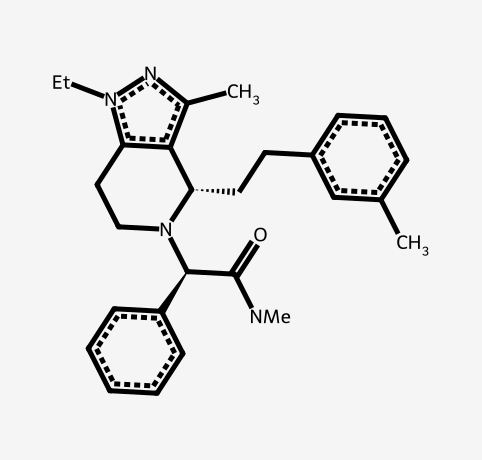 CCn1nc(C)c2c1CCN([C@@H](C(=O)NC)c1ccccc1)[C@H]2CCc1cccc(C)c1